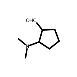 CN(C)C1CCCC1C=O